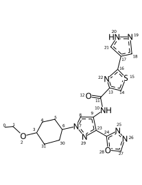 CCOC1CCC(n2cc(NC(=O)c3csc(-c4cn[nH]c4)n3)c(-c3nnco3)n2)CC1